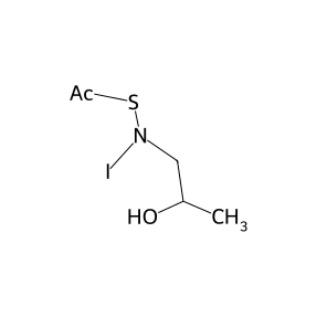 CC(=O)SN(I)CC(C)O